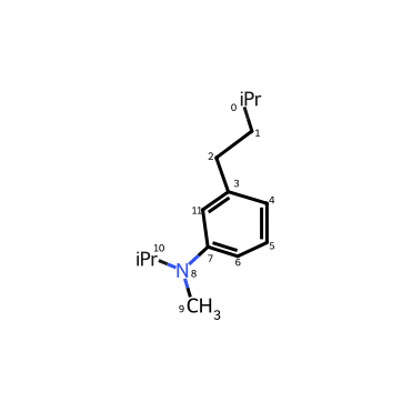 CC(C)CCc1cccc(N(C)C(C)C)c1